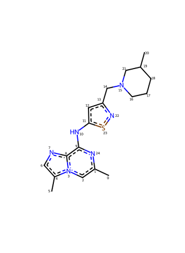 Cc1cn2c(C)cnc2c(Nc2cc(CN3CCCC(C)C3)ns2)n1